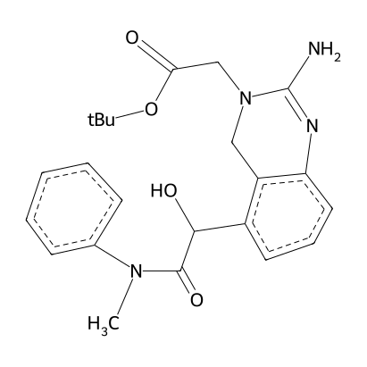 CN(C(=O)C(O)c1cccc2c1CN(CC(=O)OC(C)(C)C)C(N)=N2)c1ccccc1